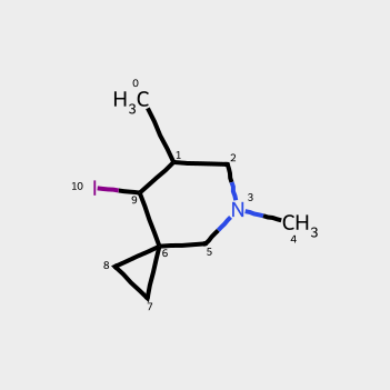 CC1CN(C)CC2(CC2)C1I